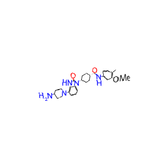 COc1cc(NC(=O)[C@H]2CC[C@@H](n3c(=O)[nH]c4c(N5CCC(N)CC5)cccc43)CC2)ccc1C